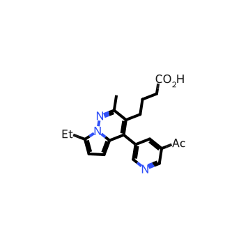 CCc1ccc2c(-c3cncc(C(C)=O)c3)c(CCCC(=O)O)c(C)nn12